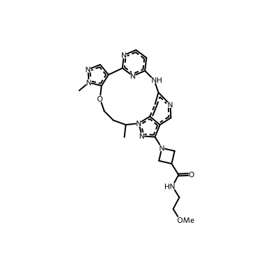 COCCNC(=O)C1CN(c2nn3c4cc(ncc24)Nc2ccnc(n2)-c2cnn(C)c2OCCC3C)C1